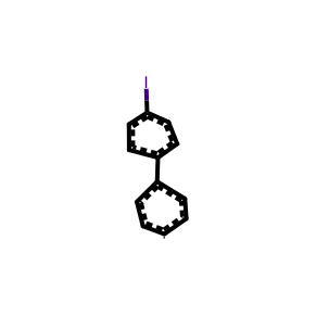 Ic1ccc(-c2cc[c]cc2)cc1